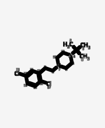 CC(C)(C)N1CCN(CCc2cc(Cl)ccc2Cl)CC1